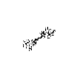 O=C(Nc1nnc(CCCCc2nnc(NC(=O)C(F)(F)F)s2)s1)C(F)(F)F